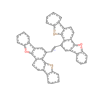 C(=C\c1cc2c3ccccc3oc2c2ccc3c4ccccc4sc3c12)/c1cc2c3ccccc3oc2c2ccc3c4ccccc4sc3c12